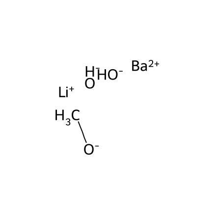 C[O-].[Ba+2].[Li+].[OH-].[OH-]